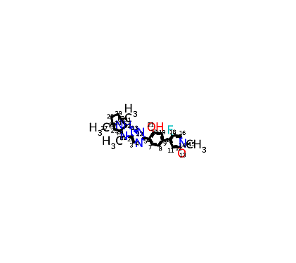 CN(c1cnc(-c2ccc(-c3cc(=O)n(C)cc3F)cc2O)nn1)[C@H]1C[C@]2(C)CC[C@](C)(C1)N2